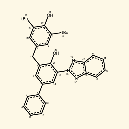 CC(C)(C)c1cc(Cc2cc(-c3ccccc3)cc(-n3nc4ccccc4n3)c2O)cc(C(C)(C)C)c1O